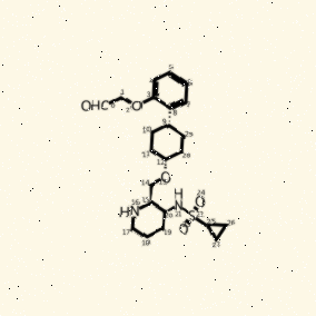 O=CCOc1ccccc1[C@H]1CC[C@@H](OC[C@@H]2NCCC[C@@H]2NS(=O)(=O)C2CC2)CC1